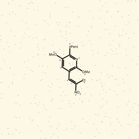 CCCCCc1nc(OC)c(/C=C(\CC)[N+](=O)[O-])cc1OC